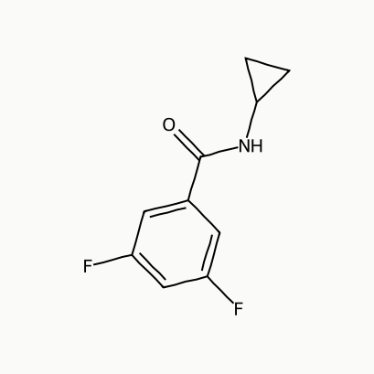 O=C(NC1CC1)c1cc(F)cc(F)c1